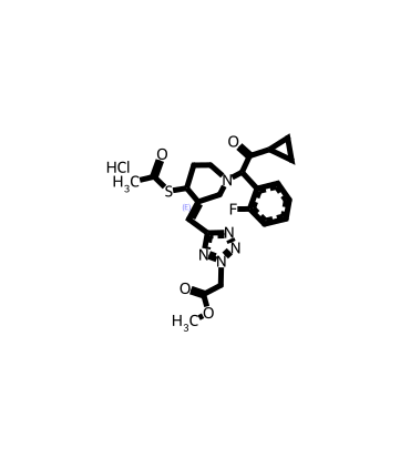 COC(=O)Cn1nnc(/C=C2\CN(C(C(=O)C3CC3)c3ccccc3F)CCC2SC(C)=O)n1.Cl